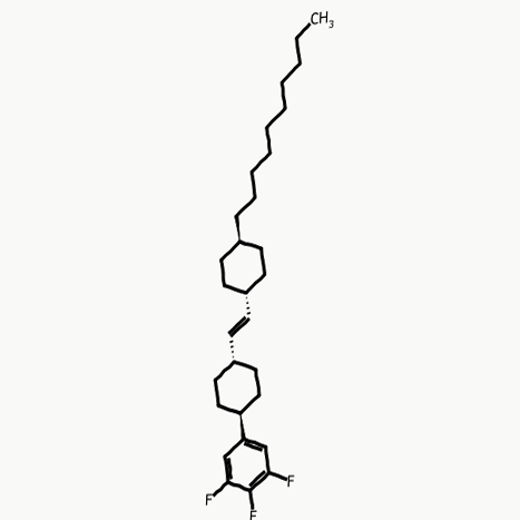 CCCCCCCCCC[C@H]1CC[C@H](C=C[C@H]2CC[C@H](c3cc(F)c(F)c(F)c3)CC2)CC1